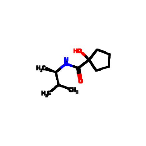 CC(C)[C@@H](C)NC(=O)C1(O)CCCC1